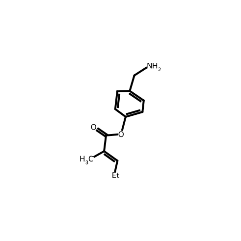 CCC=C(C)C(=O)Oc1ccc(CN)cc1